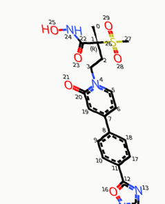 C[C@@](CCn1ccc(-c2ccc(-c3ncno3)cc2)cc1=O)(C(=O)NO)S(C)(=O)=O